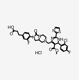 COC(=O)C1=C(CN2CCN3C(=O)N(c4ccc(CCC(=O)O)cc4F)CC3C2)N=C(c2nccs2)NC1c1ccc(F)cc1Cl.Cl